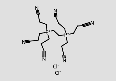 N#CCC[P+](CCC#N)(CCC#N)CC[P+](CCC#N)(CCC#N)CCC#N.[Cl-].[Cl-]